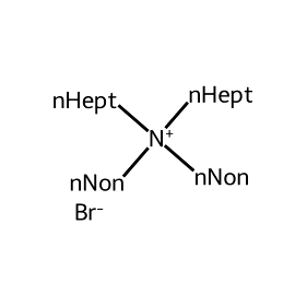 CCCCCCCCC[N+](CCCCCCC)(CCCCCCC)CCCCCCCCC.[Br-]